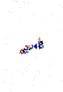 COc1ccc2nccc(N3CC(N(C)C[C@@H]4CN(c5cc6c(nn5)OCCO6)C(=O)O4)C3)c2n1